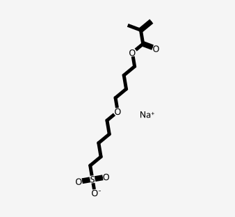 C=C(C)C(=O)OCCCCOCCCCCS(=O)(=O)[O-].[Na+]